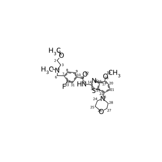 COCCN(C)Cc1ccc(C(=O)Nc2nc3c(OC)ccc(N4CCOCC4)c3s2)cc1F